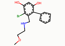 COCCNCc1c(Br)c(O)cc(O)c1-c1ccccc1